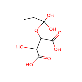 CCC(O)(O)OC(C(=O)O)C(O)C(=O)O